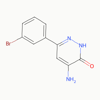 Nc1cc(-c2cccc(Br)c2)n[nH]c1=O